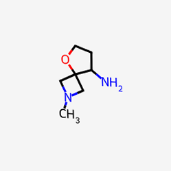 CN1CC2(C1)OCCC2N